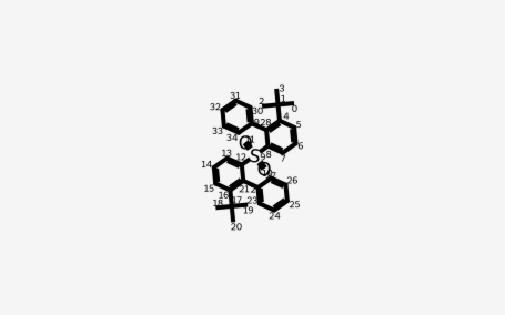 CC(C)(C)c1cccc(S(=O)(=O)c2cccc(C(C)(C)C)c2-c2ccccc2)c1-c1ccccc1